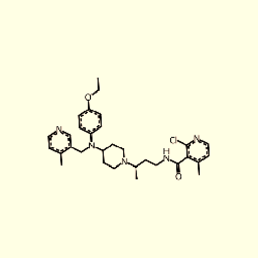 CCOc1ccc(N(Cc2cnccc2C)C2CCN([C@H](C)CCNC(=O)c3c(C)ccnc3Cl)CC2)cc1